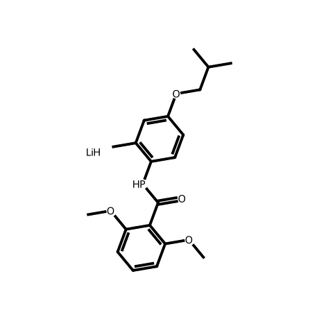 COc1cccc(OC)c1C(=O)Pc1ccc(OCC(C)C)cc1C.[LiH]